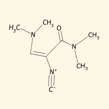 [C-]#[N+]C(=CN(C)C)C(=O)N(C)C